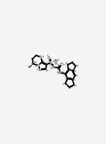 C[C@H]1CCOc2c([S@@](N)(=O)=NC(=O)Nc3c4c(cc5c3CCC5)CCC4)cnn21